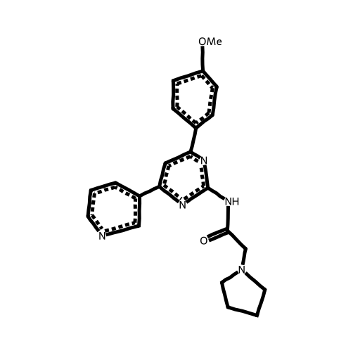 COc1ccc(-c2cc(-c3cccnc3)nc(NC(=O)CN3CCCC3)n2)cc1